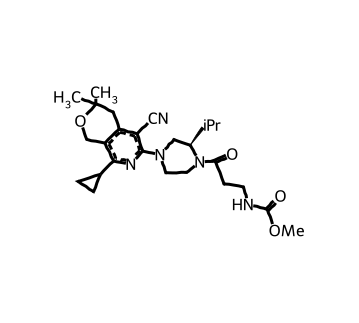 COC(=O)NCCC(=O)N1CCN(c2nc(C3CC3)c3c(c2C#N)CC(C)(C)OC3)C[C@H]1C(C)C